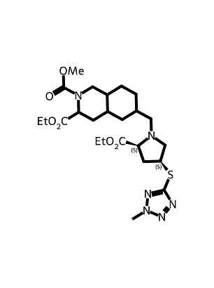 CCOC(=O)C1CC2CC(CN3C[C@@H](Sc4nnn(C)n4)C[C@H]3C(=O)OCC)CCC2CN1C(=O)OC